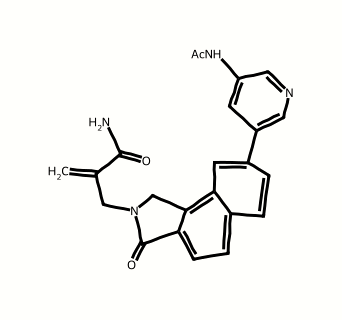 C=C(CN1Cc2c(ccc3ccc(-c4cncc(NC(C)=O)c4)cc23)C1=O)C(N)=O